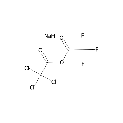 O=C(OC(=O)C(Cl)(Cl)Cl)C(F)(F)F.[NaH]